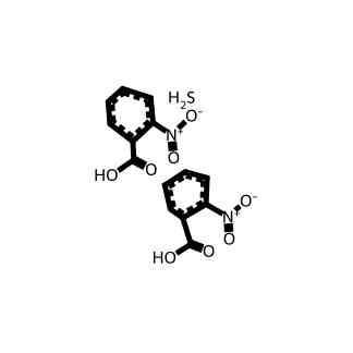 O=C(O)c1ccccc1[N+](=O)[O-].O=C(O)c1ccccc1[N+](=O)[O-].S